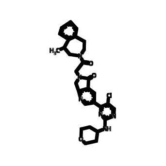 CC1CN(C(=O)CN2Cc3ncc(-c4nc(NC5CCOCC5)ncc4Cl)cc3C2=O)CCc2ccccc21